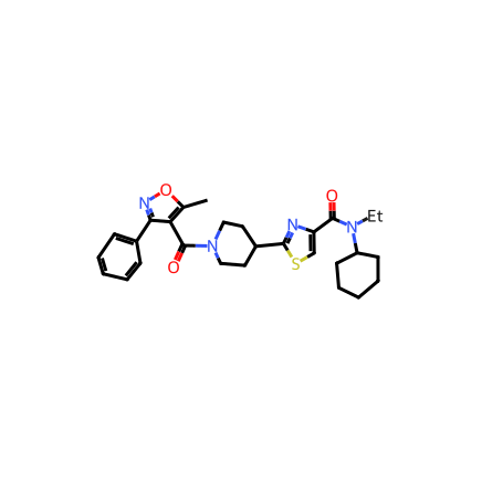 CCN(C(=O)c1csc(C2CCN(C(=O)c3c(-c4ccccc4)noc3C)CC2)n1)C1CCCCC1